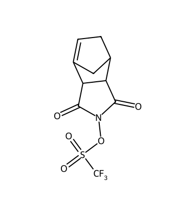 O=C1C2C3=CCC(C3)C2C(=O)N1OS(=O)(=O)C(F)(F)F